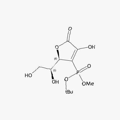 COP(=O)(OC(C)(C)C)C1=C(O)C(=O)O[C@@H]1[C@@H](O)CO